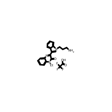 CCn1c(=O)c(-c2cn(CCCN)c3ccccc23)nc2ccccc21.O=C(O)C(F)(F)F